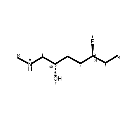 CC[C@H](F)CC[C@H](O)CNC